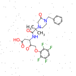 CC(C)(C(=O)NC(CC(=O)O)C(=O)COc1c(F)c(F)cc(F)c1F)N1CCN(Cc2ccccc2)C(=O)C1